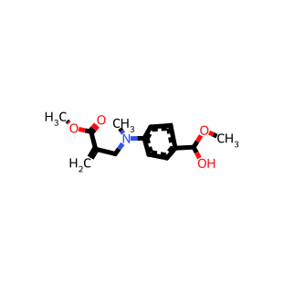 C=C(CN(C)c1ccc(C(O)OC)cc1)C(=O)OC